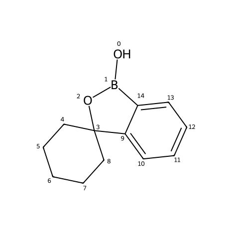 OB1OC2(CCCCC2)c2ccccc21